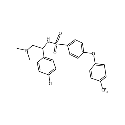 CN(C)CC(NS(=O)(=O)c1ccc(Oc2ccc(C(F)(F)F)cc2)cc1)c1ccc(Cl)cc1